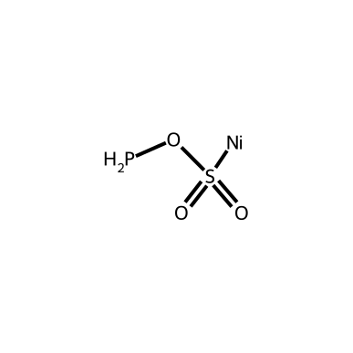 O=[S](=O)([Ni])OP